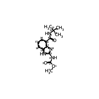 COC(=O)Nc1nc2c(C(=O)NC(C)(C)C)cccc2[nH]1